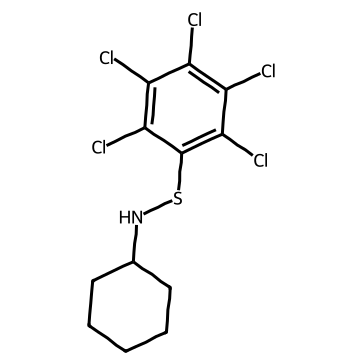 Clc1c(Cl)c(Cl)c(SNC2CCCCC2)c(Cl)c1Cl